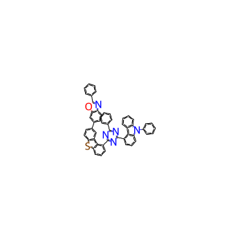 c1ccc(-c2nc(-c3cccc4sc5ccc(-c6ccc7nc(-c8ccccc8)oc7c6)cc5c34)nc(-c3cccc4c3c3ccccc3n4-c3ccccc3)n2)cc1